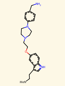 CNCCc1c[nH]c2ccc(OCCN3CCN(c4ccc(CN)cc4)CC3)cc12